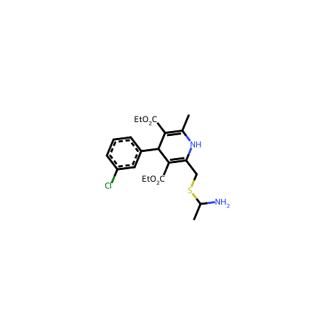 CCOC(=O)C1=C(C)NC(CSC(C)N)=C(C(=O)OCC)C1c1cccc(Cl)c1